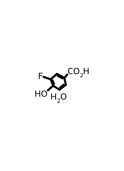 O.O=C(O)c1ccc(O)c(F)c1